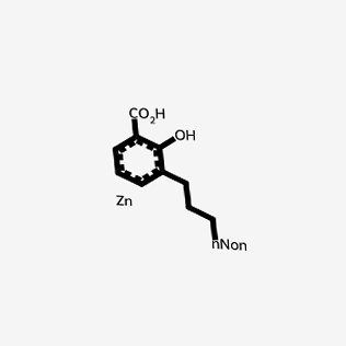 CCCCCCCCCCCCc1cccc(C(=O)O)c1O.[Zn]